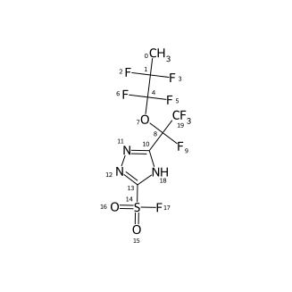 CC(F)(F)C(F)(F)OC(F)(c1nnc(S(=O)(=O)F)[nH]1)C(F)(F)F